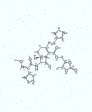 CO/N=C(\C(=O)NC1C(=O)N2C(C(=O)OCc3oc(=O)oc3C)=C(CSc3ncns3)CS[C@@H]12)c1cscn1